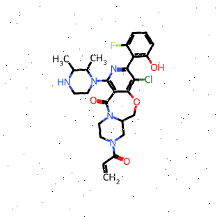 C=CC(=O)N1CCN2C(=O)c3c(N4CCNC(C)C4C)nc(-c4c(O)cccc4F)c(Cl)c3OCC2C1